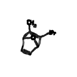 CC1=C(C(C)C)C2C=CC1O2